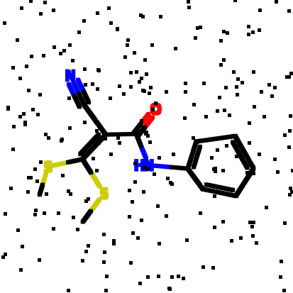 CSC(SC)=C(C#N)C(=O)Nc1ccccc1